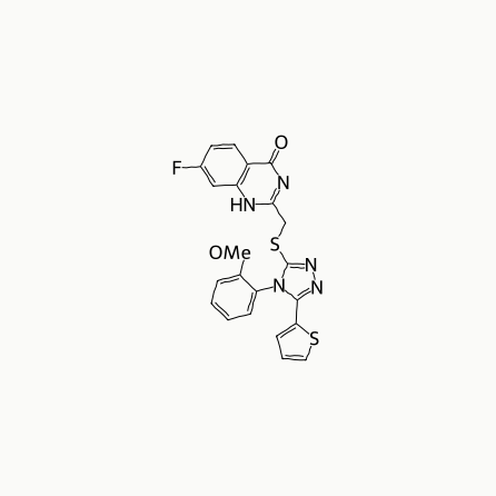 COc1ccccc1-n1c(SCc2nc(=O)c3ccc(F)cc3[nH]2)nnc1-c1cccs1